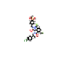 CC(CN1C(=O)c2c(CF)ccc(CF)c2C1C(=O)NCc1ccc(S(C)(=O)=O)cc1)c1ccc(Cl)cc1